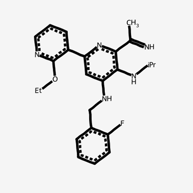 CCOc1ncccc1-c1cc(NCc2ccccc2F)c(NC(C)C)c(C(C)=N)n1